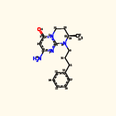 Nc1cc(=O)n2c(n1)N(CCCc1ccccc1)[C@H](C(F)(F)F)CC2